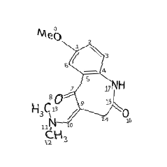 COc1ccc2c(c1)C(=O)/C(=C\N(C)C)CC(=O)N2